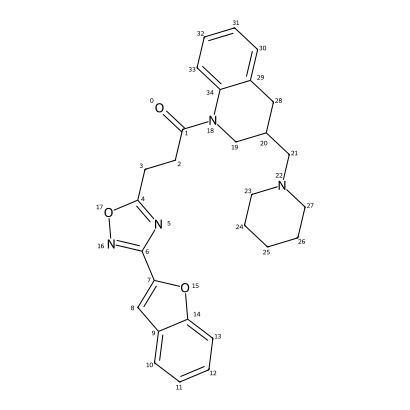 O=C(CCc1nc(-c2cc3ccccc3o2)no1)N1CC(CN2CCCCC2)Cc2ccccc21